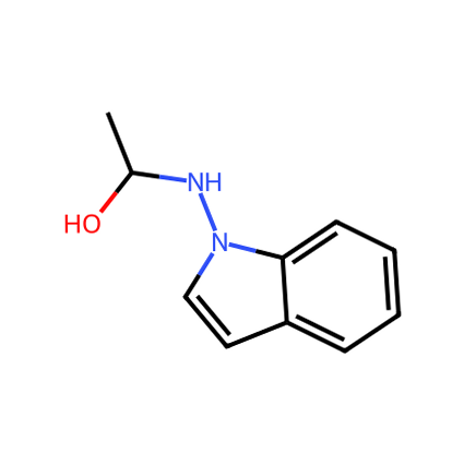 CC(O)Nn1ccc2ccccc21